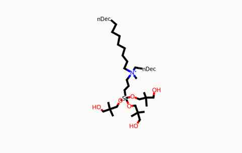 CCCCCCCCCCCCCCCCCC[N+](C)(CCCCCCCCCCC)CCC[Si](OCC(C)(C)CO)(OCC(C)(C)CO)OCC(C)(C)CO